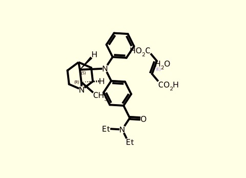 CCN(CC)C(=O)c1ccc(N(c2ccccc2)[C@H]2C3CCN(CC3)[C@@H]2C)cc1.O.O=C(O)/C=C/C(=O)O